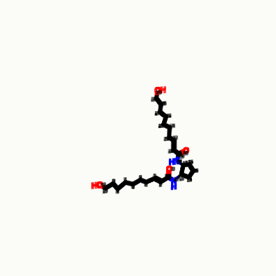 O=C(/C=C/CCCCCCCO)N[C@H]1CCC[C@H]1NC(=O)/C=C/CCCCCCCO